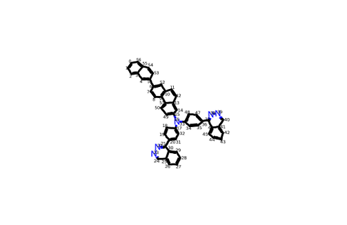 c1ccc2cc(-c3ccc4c(ccc5cc(N(c6ccc(-c7nncc8ccccc78)cc6)c6ccc(-c7nncc8ccccc78)cc6)ccc54)c3)ccc2c1